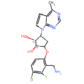 Cc1ncnc2c1ccn2C1CC(Oc2ccc(Cl)c(F)c2CN)[C@@H](O)[C@H]1O